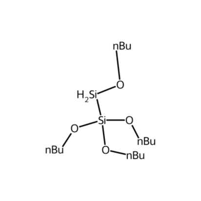 CCCCO[SiH2][Si](OCCCC)(OCCCC)OCCCC